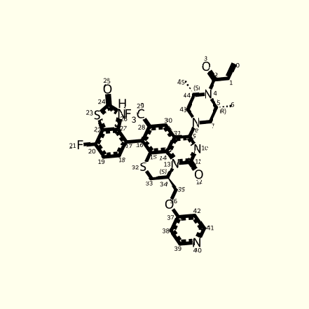 C=CC(=O)N1[C@H](C)CN(c2nc(=O)n3c4c(c(-c5ccc(F)c6sc(=O)[nH]c56)c(C(F)(F)F)cc24)SC[C@@H]3COc2ccncc2)C[C@@H]1C